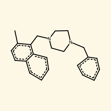 Cc1ccc2ccccc2c1CN1CCN(Cc2ccccc2)CC1